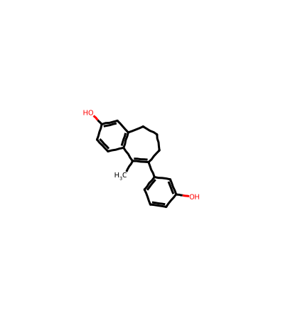 CC1=C(c2cccc(O)c2)CCCc2cc(O)ccc21